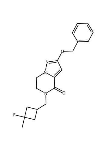 CC1(F)CC(CN2CCn3nc(OCc4ccccc4)cc3C2=O)C1